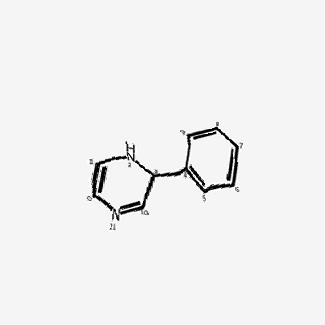 C1=CNC(c2ccccc2)C=N1